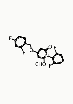 O=Cc1cc(OCc2ccc(F)cc2F)cc(=O)n1-c1c(F)cccc1F